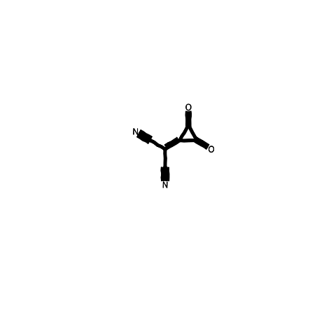 N#CC(C#N)=C1C(=O)C1=O